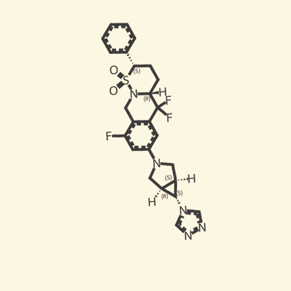 O=S1(=O)[C@H](c2ccccc2)CC[C@H]2N1Cc1c(F)cc(N3C[C@@H]4[C@H](C3)[C@H]4n3cnnc3)cc1C2(F)F